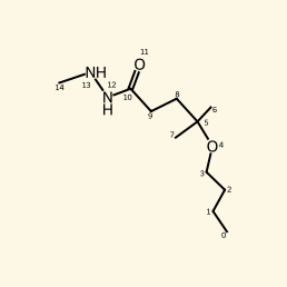 CCCCOC(C)(C)CCC(=O)NNC